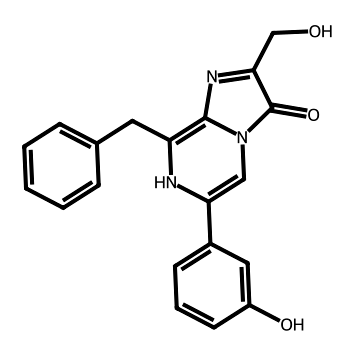 O=c1c(CO)nc2c(Cc3ccccc3)[nH]c(-c3cccc(O)c3)cn1-2